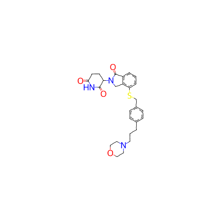 O=C1CCC(N2Cc3c(SCc4ccc(CCCN5CCOCC5)cc4)cccc3C2=O)C(=O)N1